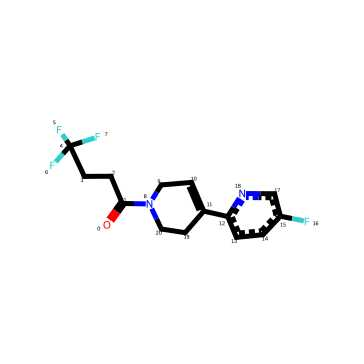 O=C(CCC(F)(F)F)N1CC=C(c2ccc(F)cn2)CC1